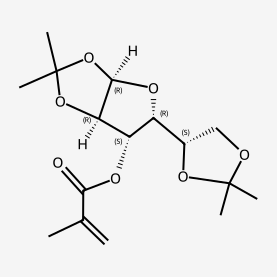 C=C(C)C(=O)O[C@@H]1[C@H]2OC(C)(C)O[C@H]2O[C@@H]1[C@@H]1COC(C)(C)O1